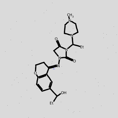 CCC(O)c1ccc2c(c1)/C(=N/N1CC(=O)N(C(CC)N3CCN(C)CC3)C1=O)CCO2